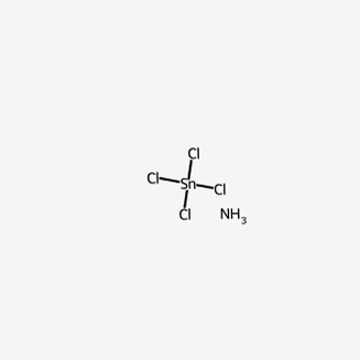 N.[Cl][Sn]([Cl])([Cl])[Cl]